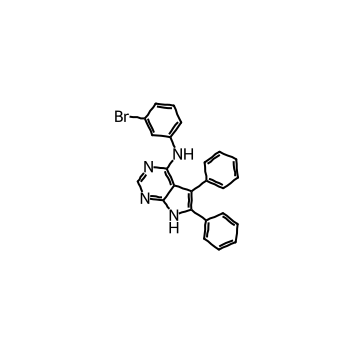 Brc1cccc(Nc2ncnc3[nH]c(-c4ccccc4)c(-c4ccccc4)c23)c1